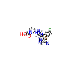 Cc1nn([C@H]2CCCN(C(=O)CO)C2)cc1-c1cc(Sc2ccc(F)cc2C#N)c2c(C#N)cnn2c1